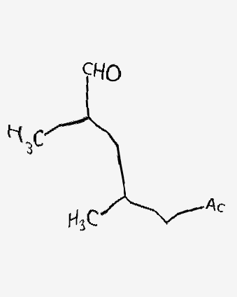 CC(=O)CC(C)CC(C)C=O